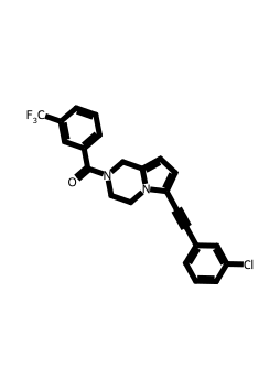 O=C(c1cccc(C(F)(F)F)c1)N1CCn2c(C#Cc3cccc(Cl)c3)ccc2C1